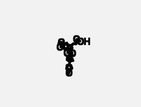 COc1ccc(-c2ccc(S(=O)(=O)n3cc(CCC(=O)O)c4cc5c(cc43)OCO5)cc2)cc1